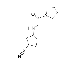 N#CC1CCC(NCC(=O)N2CCCC2)C1